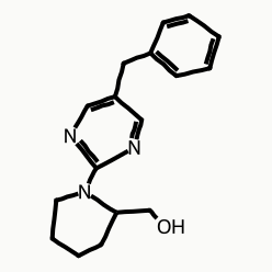 OCC1CCCCN1c1ncc(Cc2ccccc2)cn1